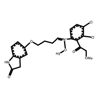 COCC(=O)c1c([N+](=CCCCOc2ccc3c(c2)CC(=O)N3)OS)ccc(Cl)c1Cl